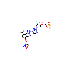 CC(C)c1ccc(OC[C@@H]2COC(=O)N2C)c2cnc(Nc3ccnc(N4CC[C@@](C)(OCCOS(C)(=O)=O)[C@@H](F)C4)n3)cc12